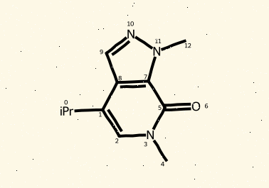 CC(C)c1cn(C)c(=O)c2c1cnn2C